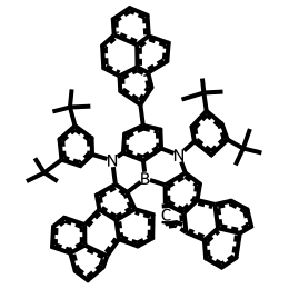 CC(C)(C)c1cc(N2c3cc(-c4cc5ccc6cccc7ccc(c4)c5c67)cc4c3B(c3c2cc2c5cccc6cccc(c7cccc3c72)c65)c2c(cc3c5cccc6cccc(c7cccc2c73)c65)N4c2cc(C(C)(C)C)cc(C(C)(C)C)c2)cc(C(C)(C)C)c1